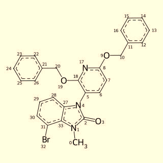 Cn1c(=O)n(-c2ccc(OCc3ccccc3)nc2OCc2ccccc2)c2cccc(Br)c21